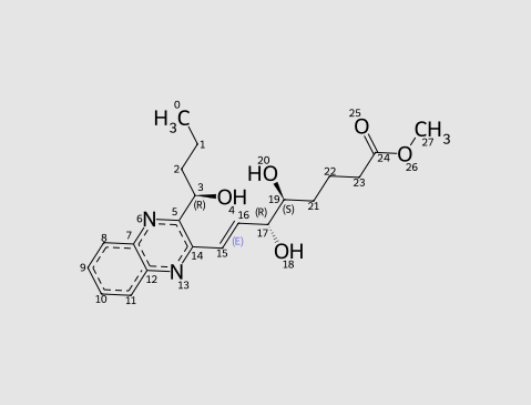 CCC[C@@H](O)c1nc2ccccc2nc1/C=C/[C@@H](O)[C@@H](O)CCCC(=O)OC